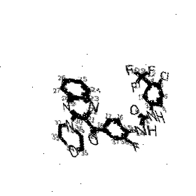 O=C(Nc1ccc(Cl)c(C(F)(F)F)c1)Nc1ccc(C(=O)c2nc3ccccc3nc2N2CCOCC2)cc1F